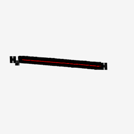 N=N/N=N/N=N/N=N/N=N/N=N/N=N/N=N/N=N/N=N/N=N/N=N/N=N/N=N/N=N/N=N/N=N/N=N/N=N/N=N/N=N/N=N/N=N/N=N/N=N/N=N/N=N/N=N/N=N/N=N/N=N/N=N/N=N/N=N/N=N/N=N/N=N/N=N/N=N/N=N/N=N/N=N/N=N/N=N/N